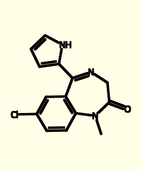 CN1C(=O)CN=C(c2ccc[nH]2)c2cc(Cl)ccc21